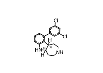 Clc1cc(Cl)cc(-c2cccc3c2[C@@H]2CCNCC[C@@H]2N3)c1